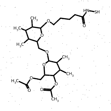 CC(=O)OCC1OC(OCC2OC(OCCCCC(=O)NS)C(C)C(C)C2C)C(C)C(C)C1OC(C)=O